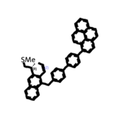 C/C=C\c1c([C@@H](C)CSC)cc2ccccc2c1Cc1ccc(-c2ccc(-c3ccc4ccc5cccc6ccc3c4c56)cc2)cc1